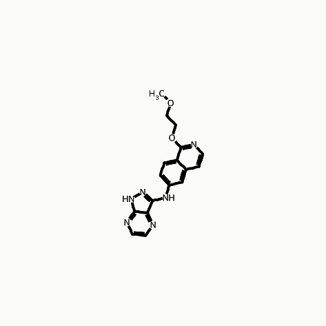 COCCOc1nccc2cc(Nc3n[nH]c4nccnc34)ccc12